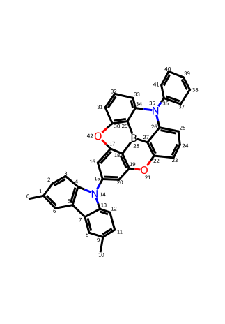 Cc1ccc2c(c1)c1cc(C)ccc1n2-c1cc2c3c(c1)Oc1cccc4c1B3c1c(cccc1N4c1ccccc1)O2